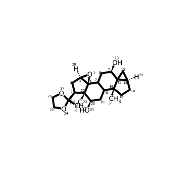 CC1(C2C[C@H]3O[C@]34C3C[C@@H](O)C56C[C@H]5CC[C@]6(C)C3C[C@@H](O)[C@]24C)OCCO1